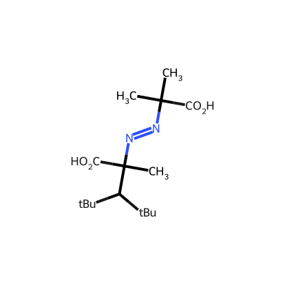 CC(C)(/N=N/C(C)(C(=O)O)C(C(C)(C)C)C(C)(C)C)C(=O)O